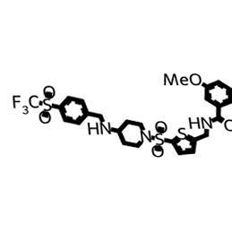 COc1cccc(C(=O)NCc2ccc(S(=O)(=O)N3CCC(NCc4ccc(S(=O)(=O)C(F)(F)F)cc4)CC3)s2)c1